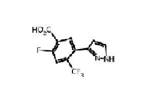 O=C(O)c1cc(-c2cc[nH]n2)c(C(F)(F)F)cc1F